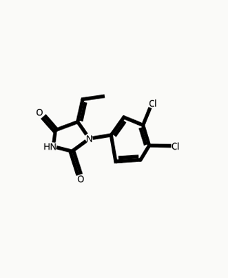 C/C=C1/C(=O)NC(=O)N1c1ccc(Cl)c(Cl)c1